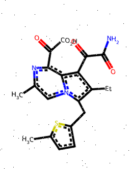 CCc1c(C(=O)C(N)=O)c2c(C(=O)C(=O)O)nc(C)cn2c1Cc1ccc(C)s1